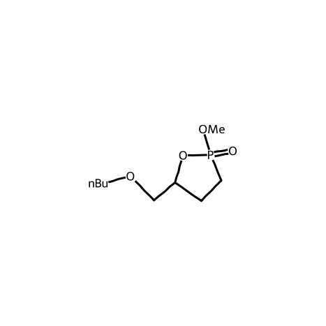 CCCCOCC1CCP(=O)(OC)O1